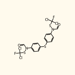 O=CN(SC(F)(Cl)Cl)c1ccc(Sc2ccc(N(C=O)SC(F)(Cl)Cl)cc2)cc1